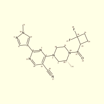 C[C@@H]1CN(c2nc(-c3cnn(C)c3)ncc2C#N)CCN1C(=O)C1CCC1(F)F